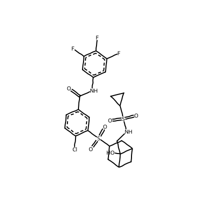 O=C(Nc1cc(F)c(F)c(F)c1)c1ccc(Cl)c(S(=O)(=O)C2CC3CC(C2)C3(O)CNS(=O)(=O)C2CC2)c1